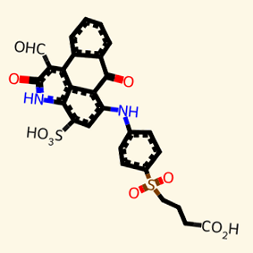 O=Cc1c2c3c(c(Nc4ccc(S(=O)(=O)CCCC(=O)O)cc4)cc(S(=O)(=O)O)c3[nH]c1=O)C(=O)c1ccccc1-2